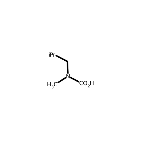 CC(C)CN(C)C(=O)O